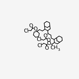 CC(OC(=O)CCl)C1CC2CCCC(C2)C1CCC(OC(=O)CCl)C1CC2CCCC(C2)C1CCC1(OC(=O)CCl)CCCCC1